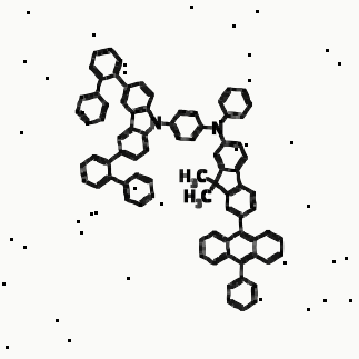 CC1(C)c2cc(-c3c4ccccc4c(-c4ccccc4)c4ccccc34)ccc2-c2ccc(N(c3ccccc3)c3ccc(-n4c5ccc(-c6ccccc6-c6ccccc6)cc5c5cc(-c6ccccc6-c6ccccc6)ccc54)cc3)cc21